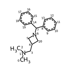 CN(C)CC1CN(C(c2ccccc2)c2ccccc2)C1